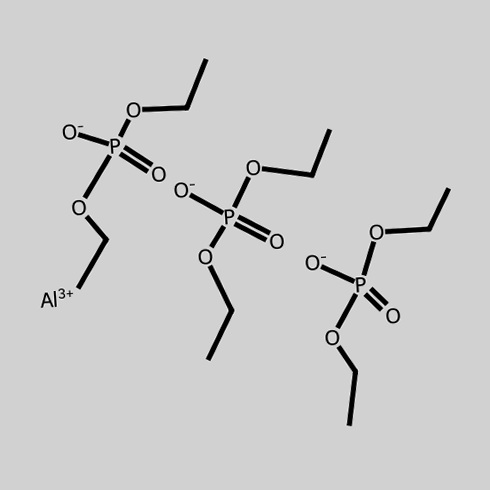 CCOP(=O)([O-])OCC.CCOP(=O)([O-])OCC.CCOP(=O)([O-])OCC.[Al+3]